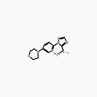 C[C@H](N)c1ncnn1-c1ccc(N2CCOCC2)cn1